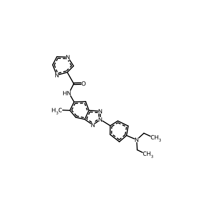 CCN(CC)c1ccc(-n2nc3cc(C)c(NC(=O)c4cnccn4)cc3n2)cc1